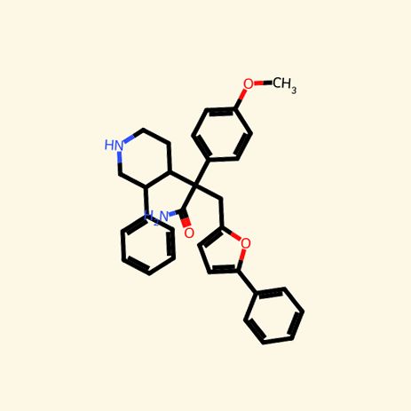 COc1ccc(C(Cc2ccc(-c3ccccc3)o2)(C(N)=O)C2CCNCC2c2ccccc2)cc1